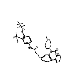 CN1CCC(N(C(=O)O)c2cc(CCCC(=O)Nc3ccc(CO[Si](C)(C)C(C)(C)C)c(C(F)(F)F)c3)ccc2-c2ccccc2)CC1